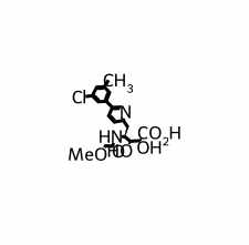 COCC(=O)N[C@@H](Cc1ccc(-c2cc(C)cc(Cl)c2)cn1)[C@H](O)[C@@H](O)C(=O)O